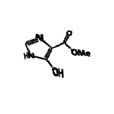 COC(=O)c1nc[nH]c1O